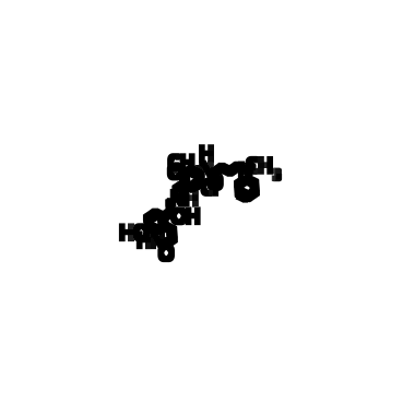 COc1cc(NC(=O)CCCN(C)C2CC#CCC2)c(Cl)cc1CNC[C@H](O)c1ccc(O)c2[nH]c(=O)ccc12